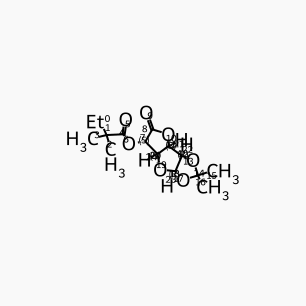 CCC(C)(C)C(=O)O[C@@H]1C(=O)O[C@@H]2[C@H]3OC(C)(C)O[C@H]3O[C@@H]21